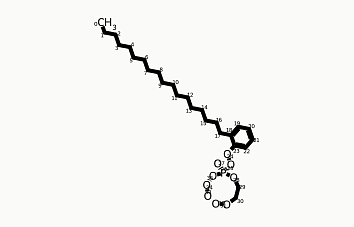 CCCCCCCCCCCCCCCCCCc1ccccc1OOP1(=O)OCCOOOOO1